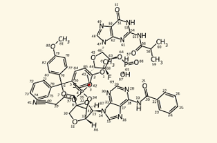 COc1ccc(C(OC[C@@]23CO[C@@H]([C@H](n4cnc5c(NC(=O)c6ccccc6)ncnc54)O2)[C@@H]3OP(=S)(OCCC#N)OC[C@@H]2O[C@H](n3cnc4c(=O)[nH]c(NC(=O)C(C)C)nc43)[C@@H](O[PH](=O)O)[C@H]2F)(c2ccccc2)c2ccc(OC)cc2)cc1